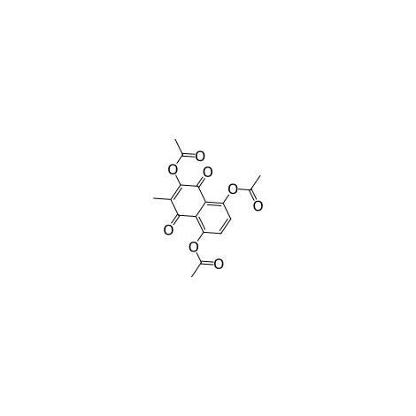 CC(=O)OC1=C(C)C(=O)c2c(OC(C)=O)ccc(OC(C)=O)c2C1=O